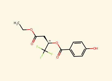 CCOC(=O)C[C@@H](OC(=O)c1ccc(O)cc1)C(F)(F)F